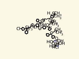 CC(C)(C)c1ccc(C(O)CCCN2CCC(C(O)(c3ccccc3)c3ccccc3)CC2)cc1.CN(C)CCOC(c1ccc(Cl)cc1)c1ccccn1.CN(C)CCOC(c1ccccc1)c1ccccc1.CN1CCC[C@@H]1CCO[C@](C)(c1ccccc1)c1ccc(Cl)cc1.Cl.O=C(O)/C=C/C(=O)O.O=C(O)/C=C\C(=O)O